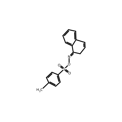 Cc1ccc(S(=O)(=O)ON=C2CC=Cc3ccccc32)cc1